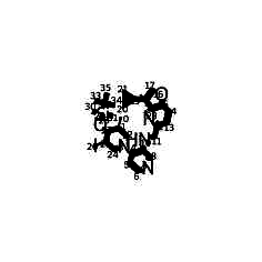 C[C@H]1CN(c2ccncc2NCc2ccc3occ(C4CC4)c3n2)C[C@@H](I)[C@@H]1O[Si](C)(C)C(C)(C)C